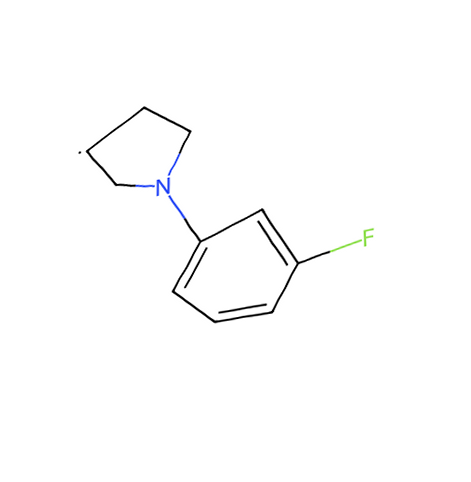 Fc1cccc(N2C[CH]CC2)c1